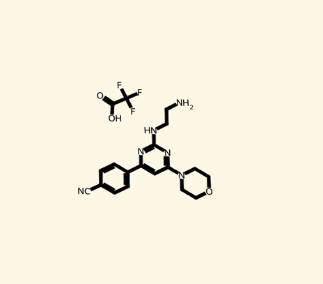 N#Cc1ccc(-c2cc(N3CCOCC3)nc(NCCN)n2)cc1.O=C(O)C(F)(F)F